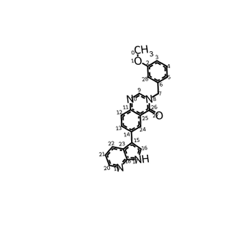 COc1cccc(Cn2cnc3ccc(-c4c[nH]c5ncccc45)cc3c2=O)c1